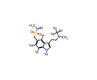 [2H]c1c(CS(=O)(=O)N([2H])C)c([2H])c2c(CCN(C)C([2H])([2H])[2H])cn([2H])c2c1[2H]